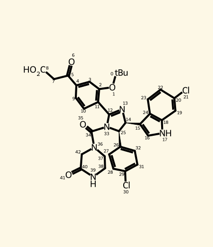 CC(C)(C)Oc1cc(C(=O)CC(=O)O)ccc1C1=N[C@@H](c2c[nH]c3cc(Cl)ccc23)[C@@H](c2ccc(Cl)cc2)N1C(=O)N1CCNC(=O)C1